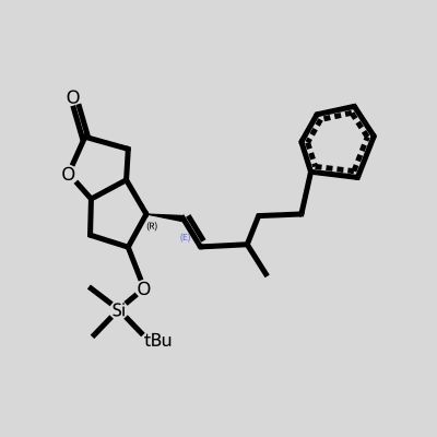 CC(/C=C/[C@H]1C(O[Si](C)(C)C(C)(C)C)CC2OC(=O)CC21)CCc1ccccc1